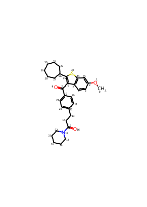 COc1ccc2c(C(=O)c3ccc(CCC(=O)N4CCCCC4)cc3)c(C3CCCCCC3)sc2c1